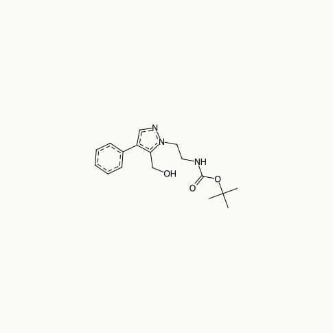 CC(C)(C)OC(=O)NCCn1ncc(-c2ccccc2)c1CO